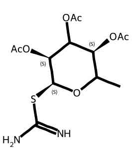 CC(=O)OC1[C@@H](OC(C)=O)C(C)O[C@@H](SC(=N)N)[C@H]1OC(C)=O